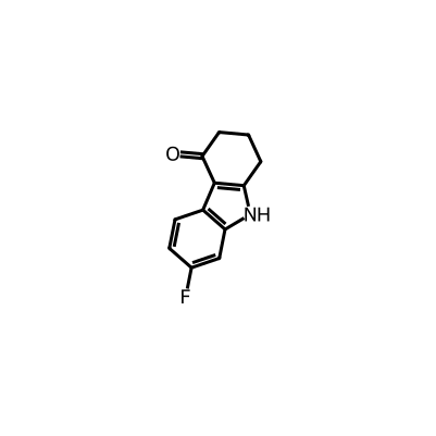 O=C1CCCc2[nH]c3cc(F)ccc3c21